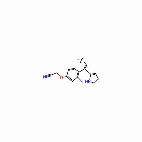 C/C=C(/C1=CCCN1)c1ccc(OCC#N)cc1I